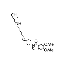 C=CCCNCCCCCCO[C@H]1CC[C@H](N(C)C(=O)c2ccc(OC)c(OC)c2)CC1